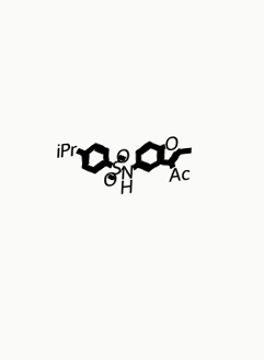 CC(=O)c1c(C)oc2ccc(NS(=O)(=O)c3ccc(C(C)C)cc3)cc12